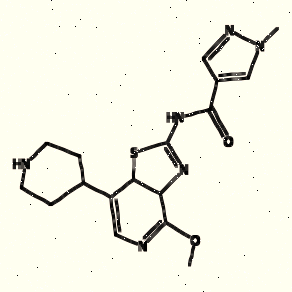 COC1=NC=C(C2CCNCC2)C2SC(NC(=O)c3cnn(C)c3)=NC12